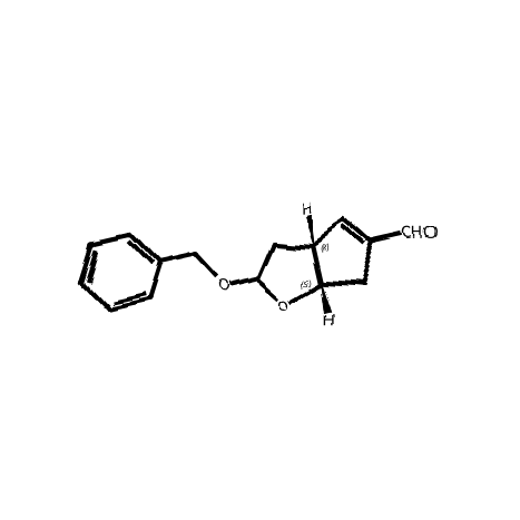 O=CC1=C[C@H]2CC(OCc3ccccc3)O[C@H]2C1